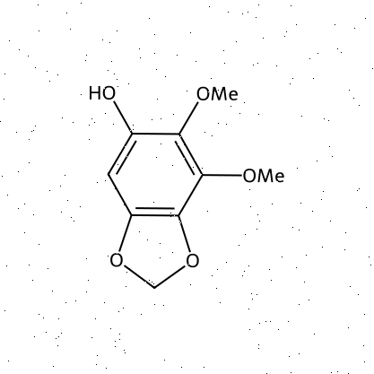 COc1c(O)cc2c(c1OC)OCO2